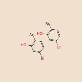 CC(=O)c1ccc(Br)cc1O.CC(=O)c1ccc(Br)cc1O